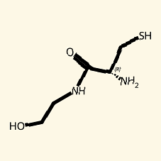 N[C@@H](CS)C(=O)NCCO